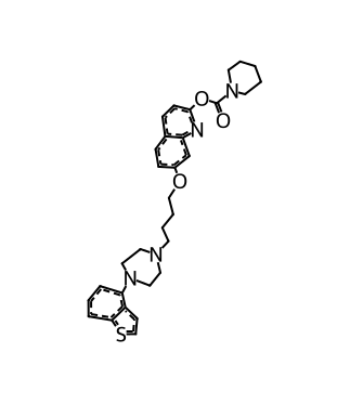 O=C(Oc1ccc2ccc(OCCCCN3CCN(c4cccc5sccc45)CC3)cc2n1)N1CCCCC1